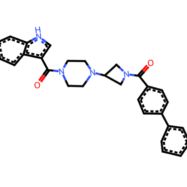 O=C(c1ccc(-c2ccccc2)cc1)N1CC(N2CCN(C(=O)c3c[nH]c4ccccc34)CC2)C1